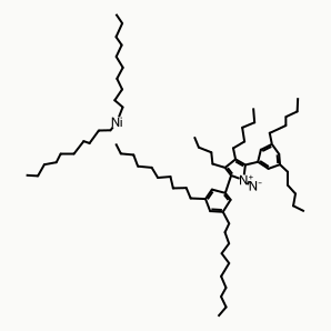 CCCCCCCCCCc1cc(CCCCCCCCCC)cc(C2=C(CCCC)C(CCCCC)=C(c3cc(CCCCC)cc(CCCCC)c3)[N+]2=[N-])c1.CCCCCCCCC[CH2][Ni][CH2]CCCCCCCCC